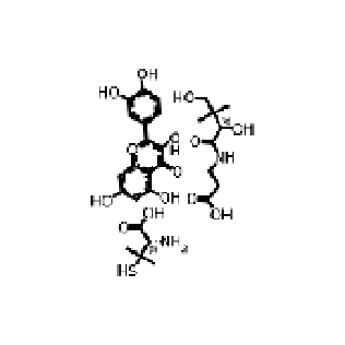 CC(C)(CO)[C@@H](O)C(=O)NCCC(=O)O.CC(C)(S)[C@@H](N)C(=O)O.O=c1c(O)c(-c2ccc(O)c(O)c2)oc2cc(O)cc(O)c12